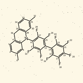 Cc1ccc2c(c1)N(c1c(F)c(F)c(-c3c(F)c(F)c(F)c(F)c3F)c(F)c1F)c1cc(C)ccc1C2